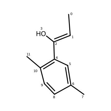 CC=C(O)c1cc(C)ccc1C